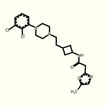 Cc1cnc(CC(=O)NC2CC(CCN3CCN(c4cccc(Cl)c4Cl)CC3)C2)o1